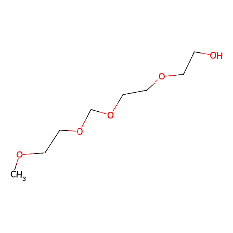 COCCOCOCCOCCO